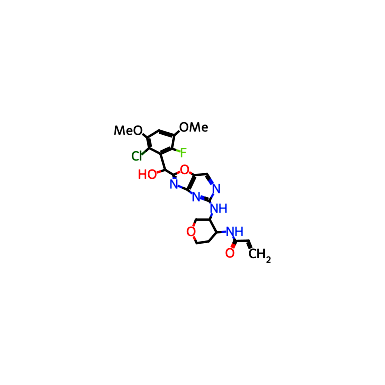 C=CC(=O)NC1CCOCC1Nc1ncc2oc(C(O)c3c(F)c(OC)cc(OC)c3Cl)nc2n1